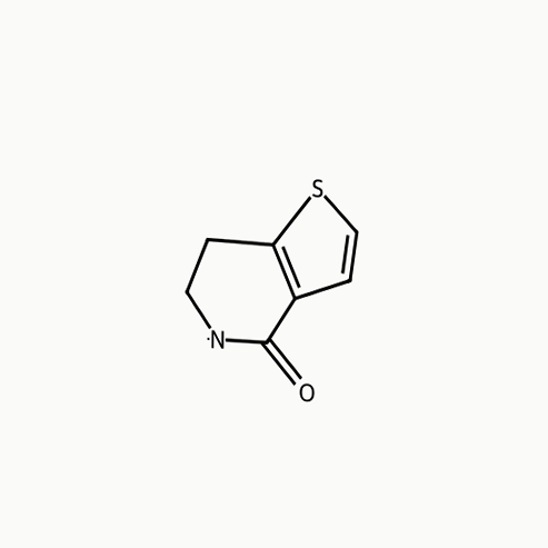 O=C1[N]CCc2sccc21